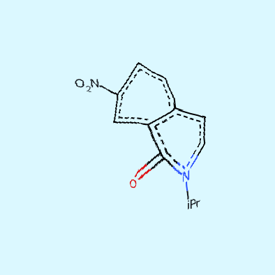 CC(C)n1ccc2ccc([N+](=O)[O-])cc2c1=O